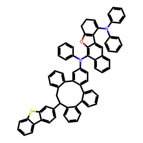 C1=C(N(c2ccccc2)c2ccccc2)c2c(oc3c(N(c4ccccc4)c4ccc5c(c4)-c4ccccc4CC(c4ccc6c(c4)sc4ccccc46)c4ccccc4-c4ccccc4-5)c4ccccc4cc23)CC1